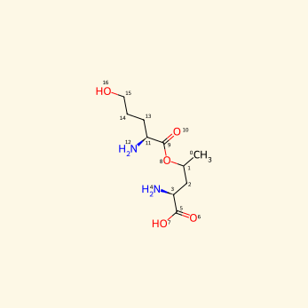 CC(C[C@H](N)C(=O)O)OC(=O)[C@@H](N)CCCO